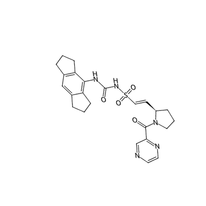 O=C(Nc1c2c(cc3c1CCC3)CCC2)NS(=O)(=O)/C=C/[C@H]1CCCN1C(=O)c1cnccn1